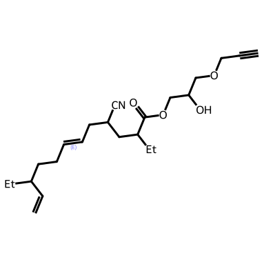 C#CCOCC(O)COC(=O)C(CC)CC(C#N)C/C=C/CCC(C=C)CC